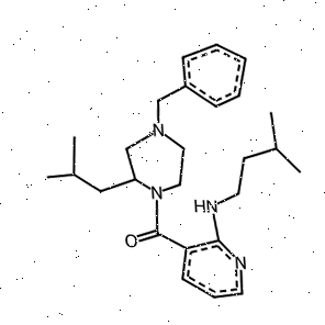 CC(C)CCNc1ncccc1C(=O)N1CCN(Cc2ccccc2)CC1CC(C)C